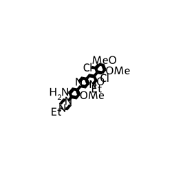 CCN1CCN(c2cc(OC)c(-c3cc4c(cn3)cc(-c3c(Cl)c(OC)cc(OC)c3Cl)c(=O)n4CC)cc2N)CC1